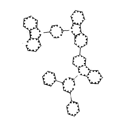 c1ccc(-c2cc(-c3ccccc3)nc(-n3c4ccccc4c4cc(-c5ccc6c7ccccc7n(-c7ncc(-n8c9ccccc9c9ncccc98)cn7)c6c5)ccc43)n2)cc1